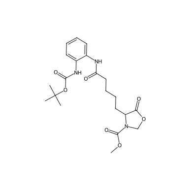 COC(=O)N1COC(=O)C1CCCCC(=O)Nc1ccccc1NC(=O)OC(C)(C)C